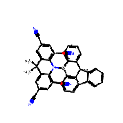 CC1(C)c2cc(C#N)cc(C#N)c2N(B2c3ccccc3C3(C)c4ccccc4-c4cccc2c43)c2c(C#N)cc(C#N)cc21